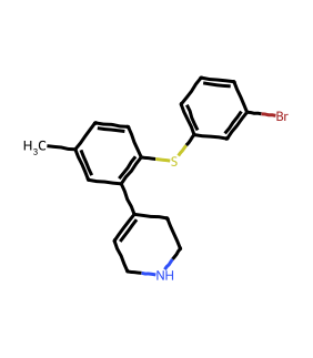 Cc1ccc(Sc2cccc(Br)c2)c(C2=CCNCC2)c1